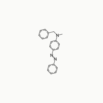 CN(Cc1ccccc1)c1ccc(/N=N/c2ccccc2)cc1